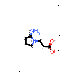 NC1CCCN1CCC(=O)O